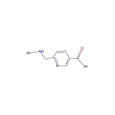 CC(C)NCc1ccc(C(=O)C(C)C)cn1